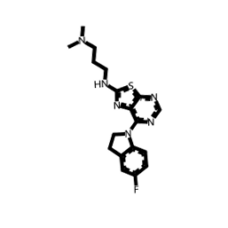 CN(C)CCCNc1nc2c(N3CCc4cc(F)ccc43)ncnc2s1